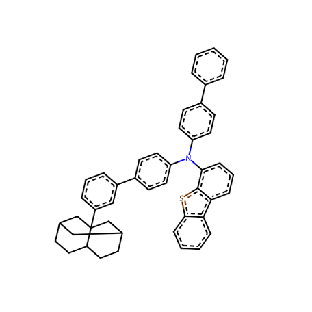 c1ccc(-c2ccc(N(c3ccc(-c4cccc(C56CC7CCC5CCC(C7)C6)c4)cc3)c3cccc4c3sc3ccccc34)cc2)cc1